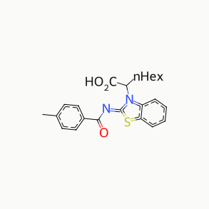 CCCCCCC(C(=O)O)n1c(=NC(=O)c2ccc(C)cc2)sc2ccccc21